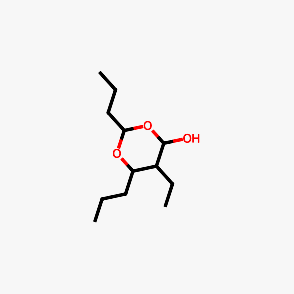 CCCC1OC(O)C(CC)C(CCC)O1